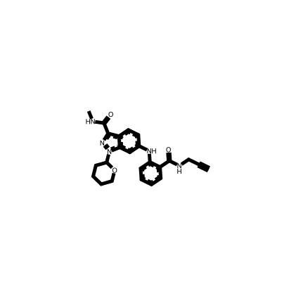 C#CCNC(=O)c1ccccc1Nc1ccc2c(C(=O)NC)nn(C3CCCCO3)c2c1